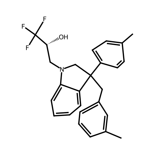 Cc1ccc(C2(Cc3cccc(C)c3)CN(C[C@@H](O)C(F)(F)F)c3ccccc32)cc1